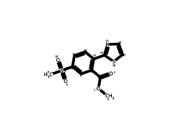 COC(=O)c1cc(S(C)(=O)=O)ccc1-c1nccs1